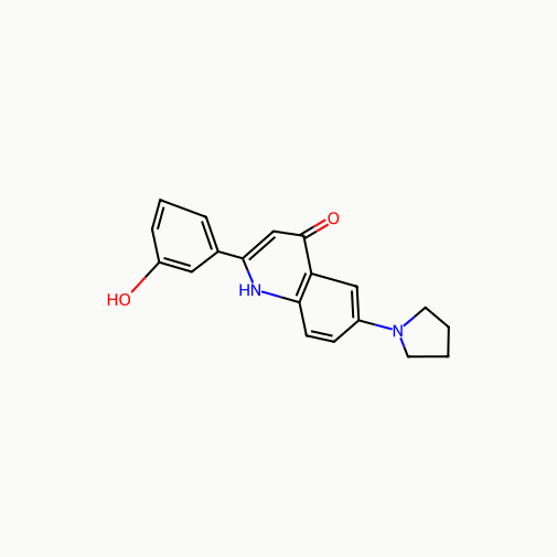 O=c1cc(-c2cccc(O)c2)[nH]c2ccc(N3CCCC3)cc12